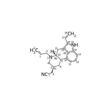 C=CCN1C[C@H](CC#N)CC2c3cccc4[nH]c(C=C)c(c34)C[C@H]21